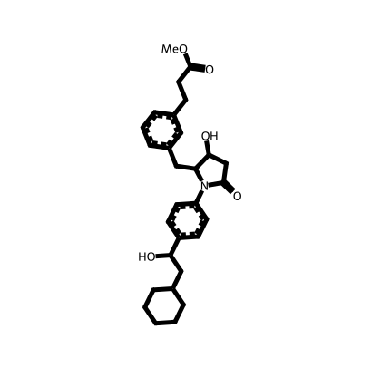 COC(=O)CCc1cccc(CC2C(O)CC(=O)N2c2ccc(C(O)CC3CCCCC3)cc2)c1